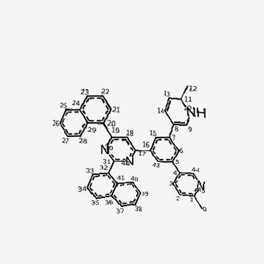 Cc1ccc(-c2cc(C3=CNC(C)C=C3)cc(-c3cc(-c4cccc5ccccc45)nc(-c4cccc5ccccc45)n3)c2)cn1